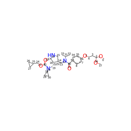 COC(CCOc1ccc(C(=O)N(C[C@@H]2CNC[C@H]2CN(C(=O)OCC2CC2)C2CC2)C(C)C)cc1)OC